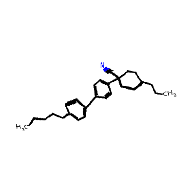 CCCCCc1ccc(-c2ccc(C3(C#N)CCC(CCC)CC3)cc2)cc1